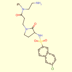 CC(C)N(CCN)C(=O)CCN1CCC(NS(=O)(=O)c2ccc3cc(Cl)ccc3c2)C1=O